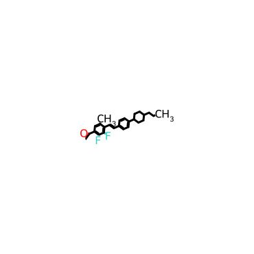 CCCC1CCC(c2ccc(/C=C/c3c(C)cc(C4CO4)c(F)c3F)cc2)CC1